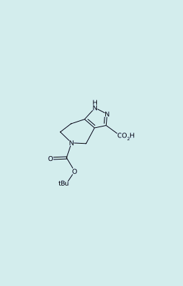 CC(C)(C)OC(=O)N1CCc2[nH]nc(C(=O)O)c2C1